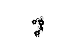 COc1ccc(-c2csc(-c3cccnc3)n2)cc1OC1CCCC1